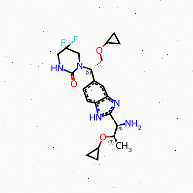 C[C@@H](OC1CC1)[C@H](N)c1nc2cc([C@@H](COC3CC3)N3CC(F)(F)CNC3=O)ccc2[nH]1